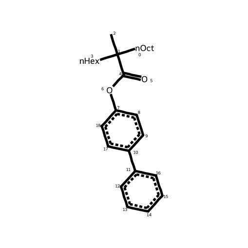 CCCCCCCCC(C)(CCCCCC)C(=O)Oc1ccc(-c2ccccc2)cc1